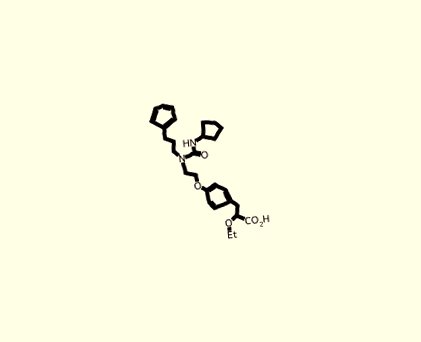 CCOC(Cc1ccc(OCCN(CCCc2ccccc2)C(=O)NC2CCCC2)cc1)C(=O)O